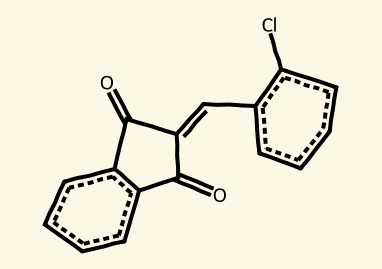 O=C1C(=Cc2ccccc2Cl)C(=O)c2ccccc21